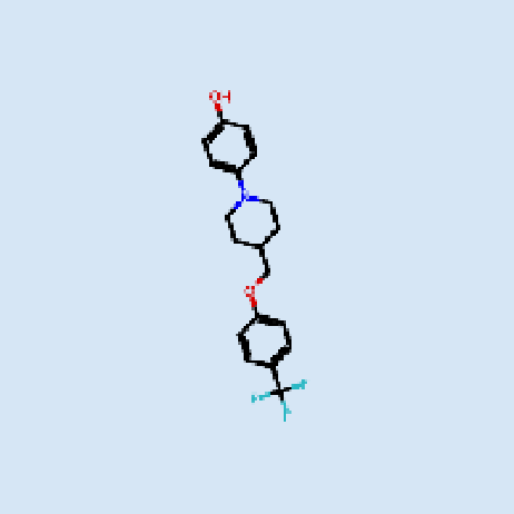 Oc1ccc(N2CCC(COc3ccc(C(F)(F)F)cc3)CC2)cc1